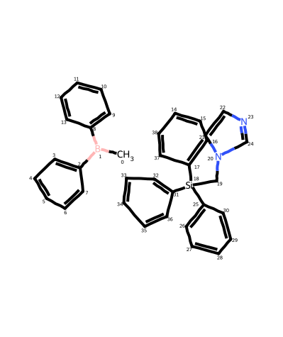 CB(c1ccccc1)c1ccccc1.c1ccc([Si](Cn2ccnc2)(c2ccccc2)c2ccccc2)cc1